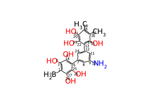 Bc1c(O)c(O)c(-c2cc(N)cc(-c3c(O)c(C)c(C)c(O)c3O)c2)c(O)c1O